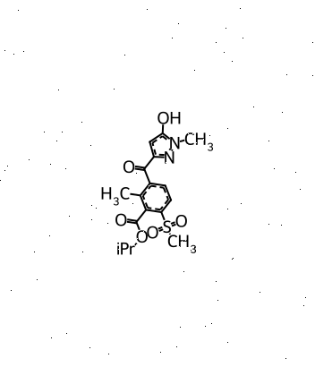 Cc1c(C(=O)c2cc(O)n(C)n2)ccc(S(C)(=O)=O)c1C(=O)OC(C)C